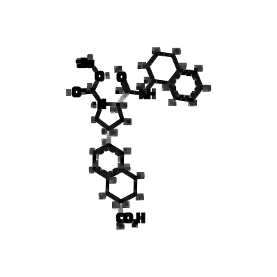 CC(C)(C)OC(=O)N1C[C@@H](c2ccc3c(c2)CC[C@H](C(=O)O)C3)C[C@H]1C(=O)NC1CCCc2ccccc21